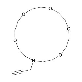 C#CCN1CCOCCOCCOCCOCCOCC1